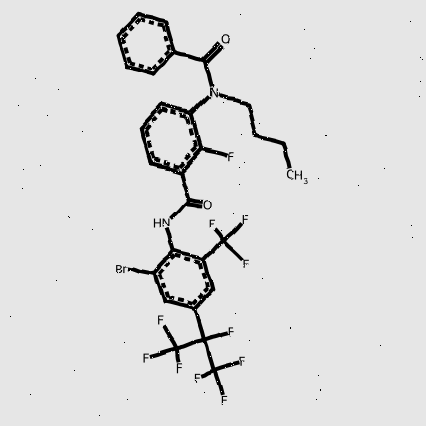 CCCCN(C(=O)c1ccccc1)c1cccc(C(=O)Nc2c(Br)cc(C(F)(C(F)(F)F)C(F)(F)F)cc2C(F)(F)F)c1F